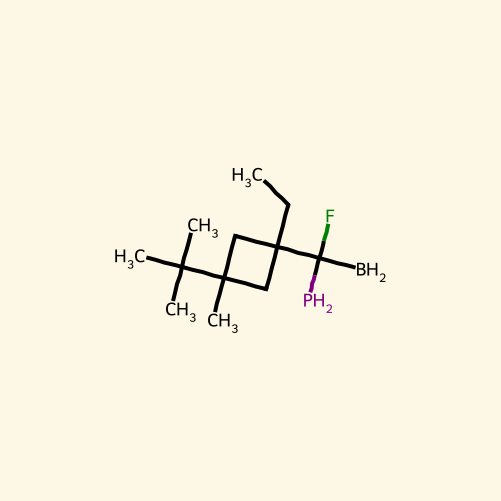 BC(F)(P)C1(CC)CC(C)(C(C)(C)C)C1